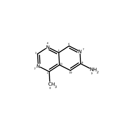 Cc1ncnc2cnc(N)cc12